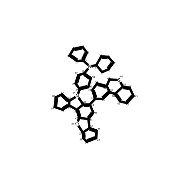 C1=CCC(N(c2ccccc2)c2ccc(-n3c4ccccc4c4c5oc6ccccc6c5cc(-c5ccc6c(c5)-c5ccccc5SC6)c43)cc2)C=C1